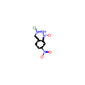 O=[N+]([O-])c1ccc2c(c1)=[N+]([O-])NN(Cl)C=2